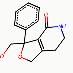 O=C1NCCC2=C1C(CO)(c1ccccc1)OC2